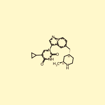 C[C@H]1C[C@H](Cc2ccn3ncc(-n4cc(C5CC5)c(=O)[nH]c4=O)c3c2)CCN1